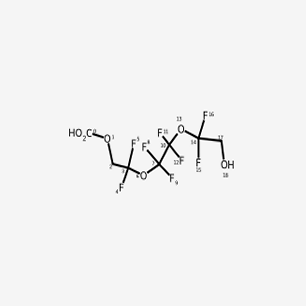 O=C(O)OCC(F)(F)OC(F)(F)C(F)(F)OC(F)(F)CO